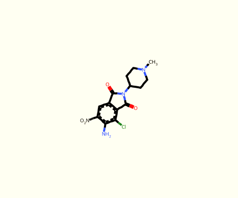 CN1CCC(N2C(=O)c3cc([N+](=O)[O-])c(N)c(Cl)c3C2=O)CC1